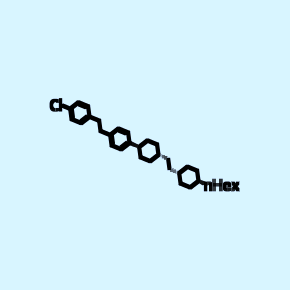 CCCCCC[C@H]1CC[C@H](CC[C@H]2CC[C@H](c3ccc(CCc4ccc(Cl)cc4)cc3)CC2)CC1